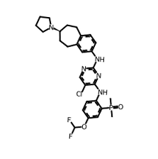 CP(C)(=O)c1cc(OC(F)F)ccc1Nc1nc(Nc2ccc3c(c2)CC[C@@H](N2CCCC2)CC3)ncc1Cl